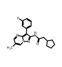 Cc1cnc2c(-c3cccc(F)c3)c(NC(=O)CC3CCCC3)nn2c1